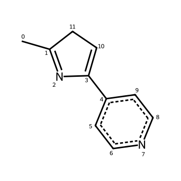 CC1=NC(c2ccncc2)=CC1